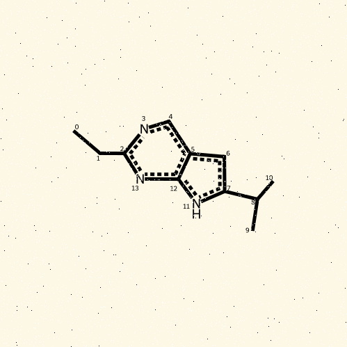 CCc1ncc2cc(C(C)C)[nH]c2n1